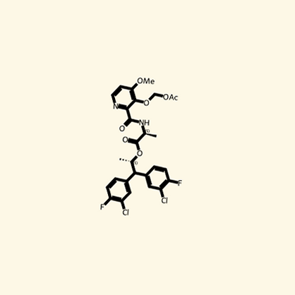 COc1ccnc(C(=O)N[C@@H](C)C(=O)O[C@@H](C)C(c2ccc(F)c(Cl)c2)c2ccc(F)c(Cl)c2)c1OCOC(C)=O